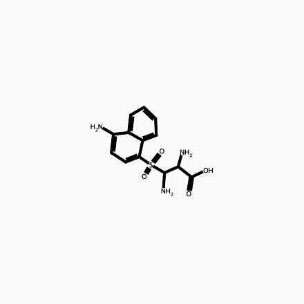 Nc1ccc(S(=O)(=O)C(N)C(N)C(=O)O)c2ccccc12